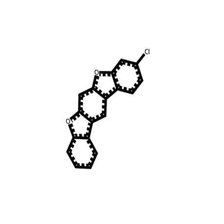 Clc1ccc2c(c1)oc1cc3oc4ccccc4c3cc12